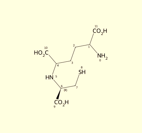 NC(CCC(N[C@@H](CS)C(=O)O)C(=O)O)C(=O)O